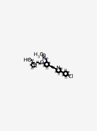 CO/N=C/c1cc(C#Cc2ccc(-c3ccc(Cl)cc3)cn2)ccc1OCCN1CCC[C@H]1CO